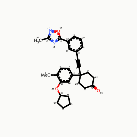 COc1ccc(C2(C#Cc3cccc(-c4nc(C)no4)c3)CCC(=O)CC2)cc1OC1CCCC1